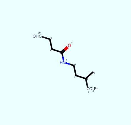 CCOC(=O)C(C)CCNC(=O)CCC=O